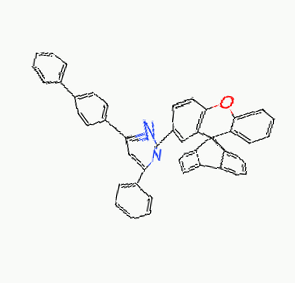 c1ccc(-c2ccc(-c3cc(-c4ccccc4)nc(-c4ccc5c(c4)C4(c6ccccc6O5)c5ccccc5-c5ccccc54)n3)cc2)cc1